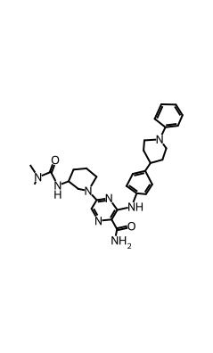 CN(C)C(=O)NC1CCCN(c2cnc(C(N)=O)c(Nc3ccc(C4CCN(c5ccccc5)CC4)cc3)n2)C1